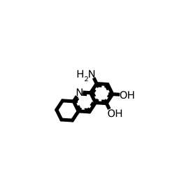 Nc1cc(O)c(O)c2cc3c(nc12)CCCC3